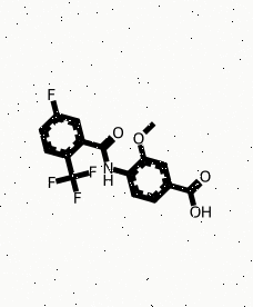 COc1cc(C(=O)O)ccc1NC(=O)c1cc(F)ccc1C(F)(F)F